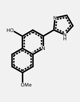 COc1ccc2c(O)cc(-c3ncc[nH]3)nc2c1